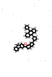 CC1(C)c2ccccc2-c2cc3c(cc21)oc1c2cc(-c4cccc(-c5c6ccccc6c(-c6ccccc6)c6ccccc56)c4)ccc2ccc31